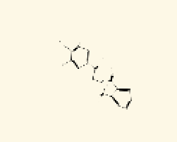 Nc1c(Cl)cc(C(=O)CN2C(=O)c3ccccc3C2=O)cc1Cl